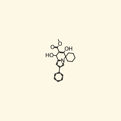 COC(=O)C1=C(O)C2(CCCCC2)n2cc(-c3ccccc3)cc2C1O